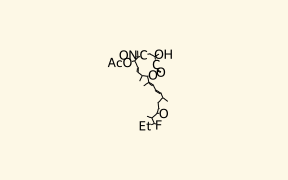 CCC(F)C(C)C1OC1CC(C)/C=C/C=C(\C)C1OC(=O)CC(O)CCC(C)(N=O)C(OC(C)=O)/C=C/C1C